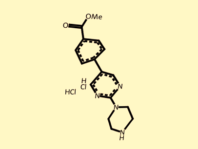 COC(=O)c1ccc(-c2cnc(N3CCNCC3)nc2)cc1.Cl.Cl